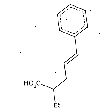 CCC(C/C=C/c1ccccc1)C(=O)O